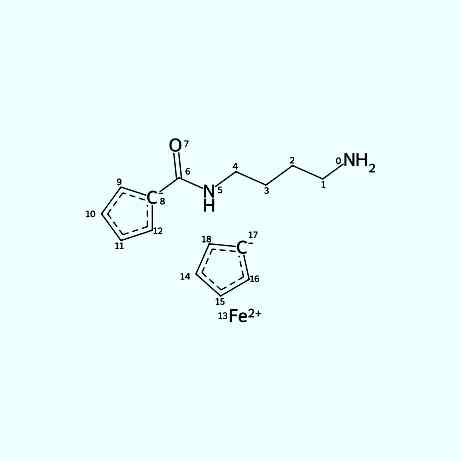 NCCCCNC(=O)[c-]1cccc1.[Fe+2].c1cc[cH-]c1